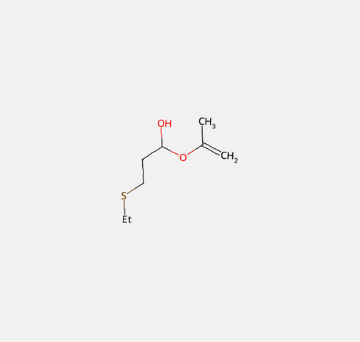 C=C(C)OC(O)CCSCC